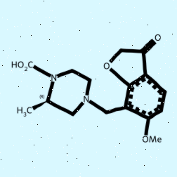 COc1ccc2c(c1CN1CCN(C(=O)O)[C@H](C)C1)OCC2=O